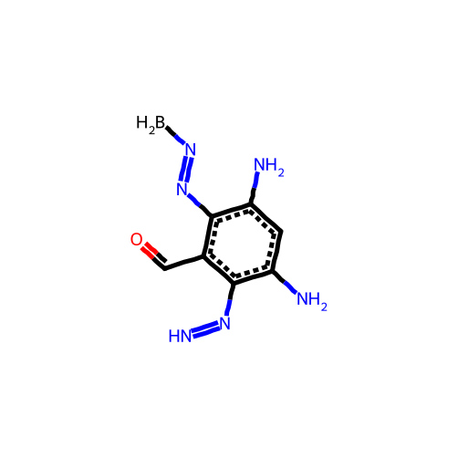 BN=Nc1c(N)cc(N)c(N=N)c1C=O